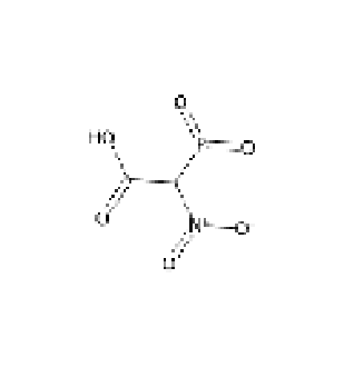 O=C(O)C([N+](=O)[O-])P(=O)=O